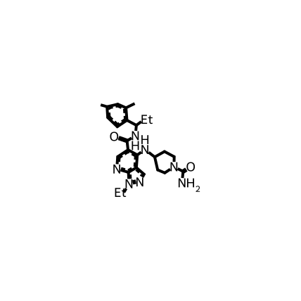 CCC(NC(=O)c1cnc2c(cnn2CC)c1NC1CCN(C(N)=O)CC1)c1ccc(C)cc1C